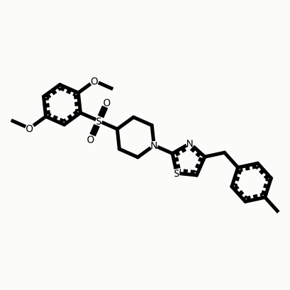 COc1ccc(OC)c(S(=O)(=O)C2CCN(c3nc(Cc4ccc(C)cc4)cs3)CC2)c1